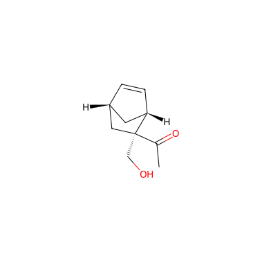 CC(=O)[C@@]1(CO)C[C@@H]2C=C[C@H]1C2